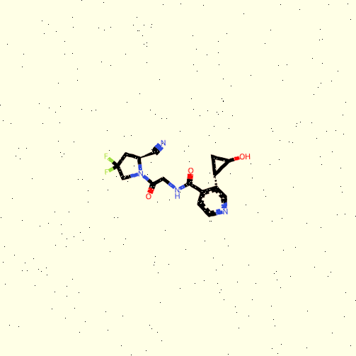 N#C[C@@H]1CC(F)(F)CN1C(=O)CNC(=O)c1ccncc1[C@@H]1CC1O